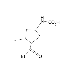 CCC(=O)C1CC(NC(=O)O)CC1C